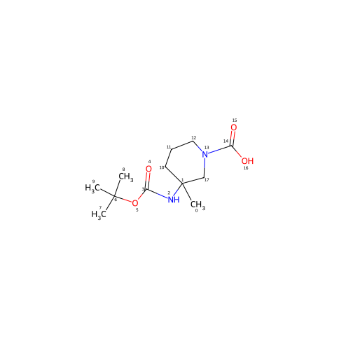 CC1(NC(=O)OC(C)(C)C)CCCN(C(=O)O)C1